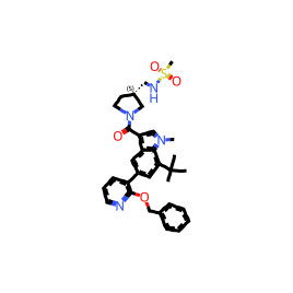 Cn1cc(C(=O)N2CC[C@H](CNS(C)(=O)=O)C2)c2cc(-c3cccnc3OCc3ccccc3)cc(C(C)(C)C)c21